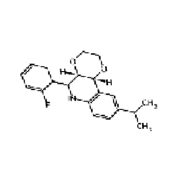 CC(C)c1ccc2c(c1)[C@H]1OCCO[C@H]1[C@H](C1CC=CC=C1F)N2